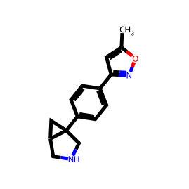 Cc1cc(-c2ccc(C34CNCC3C4)cc2)no1